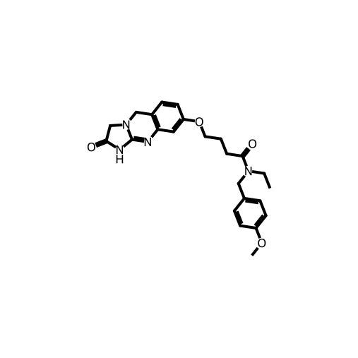 CCN(Cc1ccc(OC)cc1)C(=O)CCCOc1ccc2c(c1)N=C1NC(=O)CN1C2